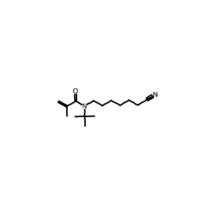 C=C(C)C(=O)N(CCCCCCC#N)C(C)(C)C